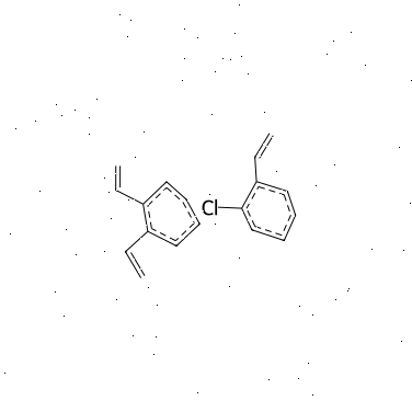 C=Cc1ccccc1C=C.C=Cc1ccccc1Cl